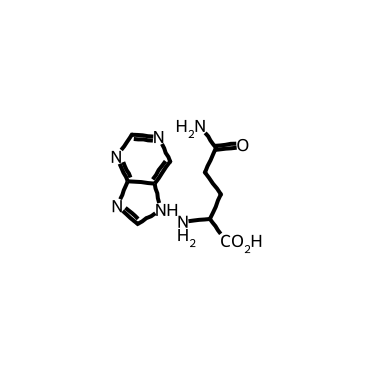 NC(=O)CCC(N)C(=O)O.c1ncc2[nH]cnc2n1